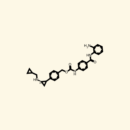 Nc1ccccc1NC(=O)c1ccc(NC(=O)OCc2ccc(C3C[C@H]3NCC3CC3)cc2)cc1